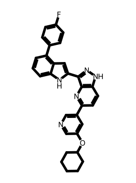 Fc1ccc(-c2cccc3[nH]c(-c4n[nH]c5ccc(-c6cncc(OC7CCCCC7)c6)nc45)cc23)cc1